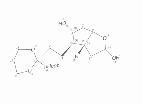 CCCCCCCC1(CC[C@H]2[C@H](O)CC3OC(O)C[C@@H]32)OCCCO1